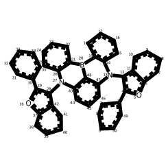 c1ccc(-c2oc3ccccc3c2N2c3ccccc3B3c4ccccc4N(c4c(-c5ccccc5)oc5ccccc45)c4cccc2c43)cc1